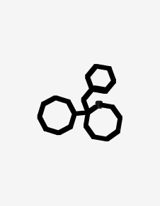 C1=C(CC2(C3CCCCCCC3)CCCCCCO2)CCCC1